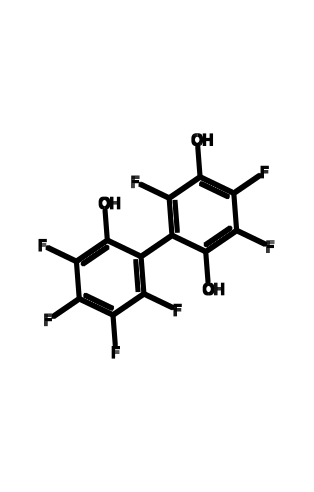 Oc1c(F)c(F)c(O)c(-c2c(O)c(F)c(F)c(F)c2F)c1F